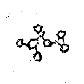 c1ccc(-c2cc(-c3ccccc3)nc(-n3c(-c4cccc(-n5c6ccccc6c6ccccc65)c4)cc4ccccc43)c2)cc1